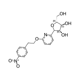 O=[N+]([O-])c1ccc(CCOc2cccc(C3O[C@H](CO)[C@@H](O)[C@H]3O)n2)cc1